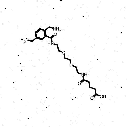 NCc1ccc(CN)c(C(=O)NCCOCCOCCNC(=O)CCCC(=O)O)c1